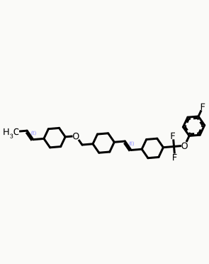 C/C=C/C1CCC(OCC2CCC(/C=C/C3CCC(C(F)(F)Oc4ccc(F)cc4)CC3)CC2)CC1